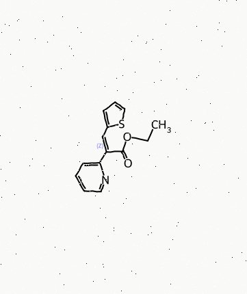 CCOC(=O)/C(=C\c1cccs1)c1ccccn1